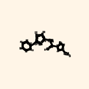 Cc1csc(C(=O)Nc2nc(-c3ccccn3)ns2)c1